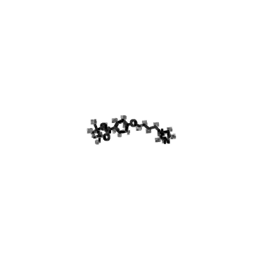 CC1(C)OB(c2ccc(OCCCCn3ccnc3)cc2)OC1(C)C